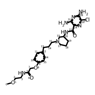 COCCNC(=O)COc1ccc(CCCN2CCCC(NC(=O)c3nc(Cl)c(N)nc3N)C2)cc1